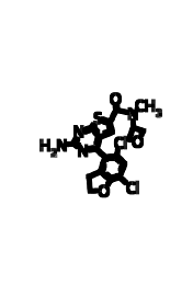 CN(C(=O)c1cc2c(-c3c(Cl)cc(Cl)c4c3CCO4)nc(N)nc2s1)C1COC1